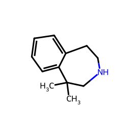 CC1(C)CNCCc2ccccc21